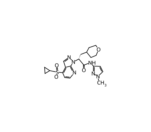 Cn1ccc(NC(=O)[C@@H](CC2CCOCC2)n2ncc3c(S(=O)(=O)C4CC4)ccnc32)n1